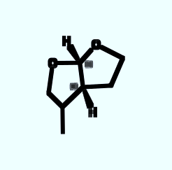 CC1CO[C@@H]2OCC[C@H]12